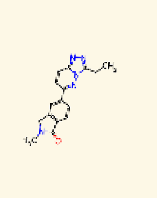 CCc1nnc2ccc(-c3ccc4c(c3)CN(C)C4=O)nn12